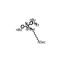 CCCCCCCCCCCCCCCCCCCC#CC1=C(c2cccc(CCCC)c2)[N+](=[N-])C(c2cccc(CCCC)c2)=C1CCCCC.C[CH2][Ni][CH2]C